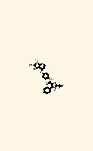 O=C(Nc1ccc(Oc2ccnc3c2NC(O)N3)cc1)c1nc(C(F)(F)F)[nH]c1-c1ccc(F)cc1